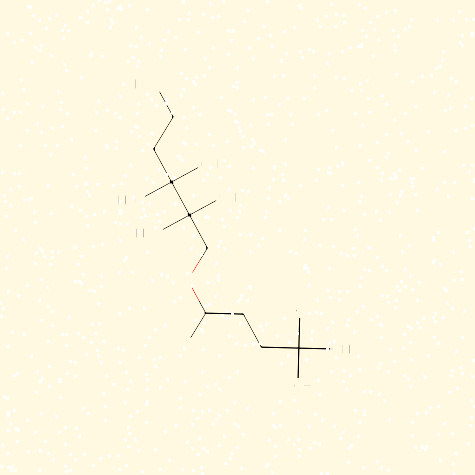 CCCC(C)(C)C(C)(C)COC(C)CCC(C)(C)C